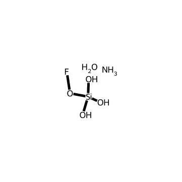 N.O.O[Si](O)(O)OF